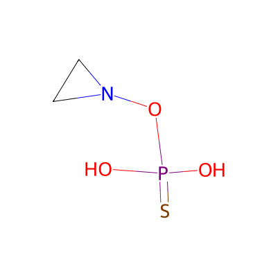 OP(O)(=S)ON1CC1